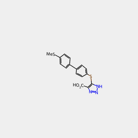 CSc1ccc(-c2ccc(Sc3[nH]nnc3C(=O)O)cc2)cc1